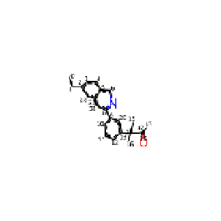 CCc1ccc2cnc(-c3cccc(C(C)(C)C(C)=O)c3)cc2c1